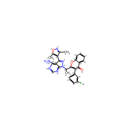 Cc1noc(C)c1-c1nn(C(C)c2oc3ccccc3c(=O)c2-c2cccc(F)c2)c2ncnc(N)c12